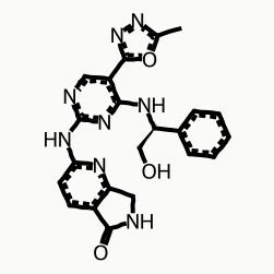 Cc1nnc(-c2cnc(Nc3ccc4c(n3)CNC4=O)nc2N[C@H](CO)c2ccccc2)o1